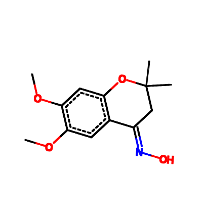 COc1cc2c(cc1OC)/C(=N/O)CC(C)(C)O2